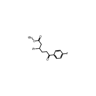 CC(C)C(CCC(=O)c1ccc(F)cc1)CC(=O)OC(C)(C)C